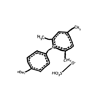 CCCCCCCCCCc1ccc(-[n+]2c(C)cc(C)cc2C)cc1.O=S(=O)([O-])O